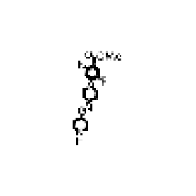 COC(=O)c1cc(F)c(N2CCC(=NOC3CCNCC3)CC2)cc1F